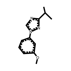 COc1cccc(-n2cnc(C(C)C)n2)c1